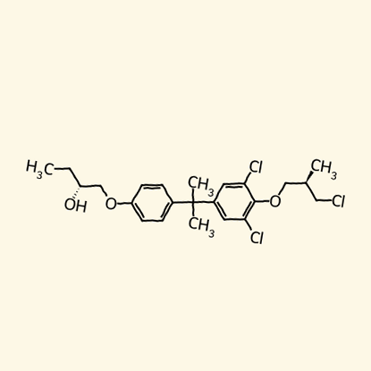 CC[C@@H](O)COc1ccc(C(C)(C)c2cc(Cl)c(OC[C@@H](C)CCl)c(Cl)c2)cc1